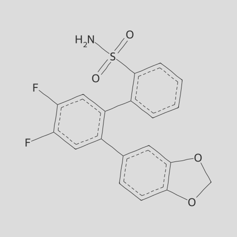 NS(=O)(=O)c1ccccc1-c1cc(F)c(F)cc1-c1ccc2c(c1)OCO2